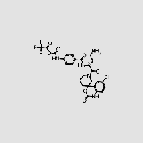 NCC[C@H](NC(=O)c1ccc(NC(=O)OC(=O)C(F)(F)F)cc1)C(=O)N1CCCC2(C1)OC(=O)Nc1ccc(Cl)cc12